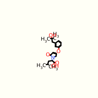 CC(C)CC(C(=O)O)N1CC(Oc2cccc(CC(C)(C)O)c2)=CC1=O